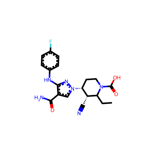 CCC1[C@H](C#N)[C@H](n2cc(C(N)=O)c(Nc3ccc(F)cc3)n2)CCN1C(=O)O